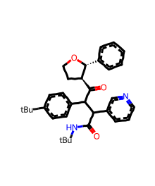 CC(C)(C)NC(=O)C(c1cccnc1)C(C(=O)[C@H]1CCO[C@@H]1c1ccccc1)c1ccc(C(C)(C)C)cc1